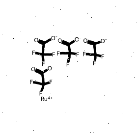 O=C([O-])C(F)(F)F.O=C([O-])C(F)(F)F.O=C([O-])C(F)(F)F.O=C([O-])C(F)(F)F.[Ru+4]